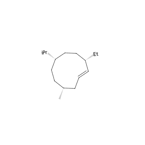 CC[C@@H]1/C=C/C[C@H](C)CC[C@H](C(C)C)CC1